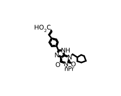 CCCn1c(=O)c2nc(-c3ccc(/C=C/C(=O)O)cc3)[nH]c2n(CC2CCCCC2)c1=O